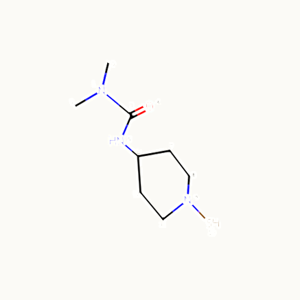 CN(C)C(=O)NC1CCN(S)CC1